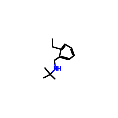 CCc1ccccc1CNC(C)(C)C